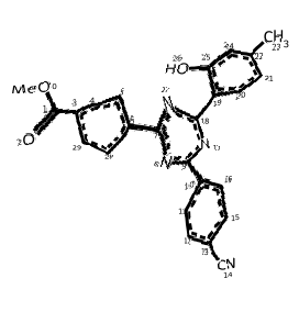 COC(=O)c1ccc(-c2nc(-c3ccc(C#N)cc3)nc(-c3ccc(C)cc3O)n2)cc1